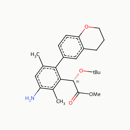 COC(=O)[C@@H](OC(C)(C)C)c1c(C)c(N)cc(C)c1-c1ccc2c(c1)CCCO2